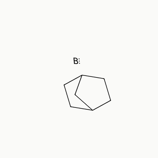 C1CC2CCC1C2.[B]